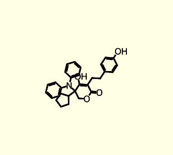 O=C1OCC(C2CCCC2)(N(c2ccccc2)c2ccccc2)C(O)=C1CCc1ccc(O)cc1